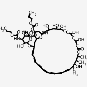 C=CCOC(=O)NC1C(O)C(C)OC(OC2/C=C/C=C/C=C/C=C/C=C/C=C/C=C/C(C)C(O)C(C)C(C)OC(=O)CC(O)CC(O)CCC(O)C(O)CC(O)CC3(O)CC(OC(=O)OCC=C)C(N=C=O)C(C2)O3)C1O